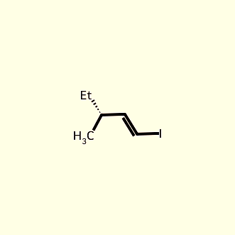 CC[C@@H](C)/C=C/I